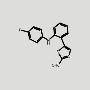 O=Cc1ncc(-c2ccccc2Nc2ccc(F)cc2)s1